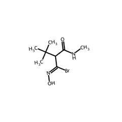 CNC(=O)C(C(Br)=NO)C(C)(C)C